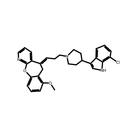 COc1cccc2c1CC(=CCCN1CCC(c3c[nH]c4c(Cl)cccc34)CC1)c1cccnc1O2